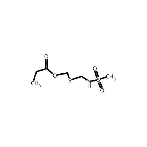 CCC(=O)OCSCNS(C)(=O)=O